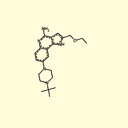 CCOCc1cc2c(N)nc3ccc(N4CCN(C(C)(C)C)CC4)cc3c2[nH]1